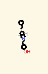 Oc1ccc(CCN2C[C@H]3C[C@H](CCc4ccccc4)C[C@H]3C2)cc1